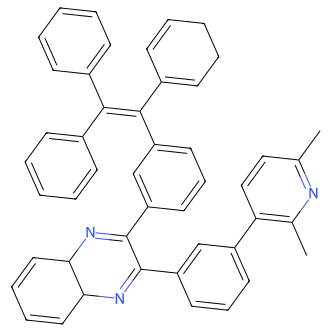 Cc1ccc(-c2cccc(C3=NC4C=CC=CC4N=C3c3cccc(C(C4=CCCC=C4)=C(c4ccccc4)c4ccccc4)c3)c2)c(C)n1